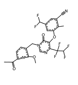 COc1nc(C(C)=O)ccc1Cn1cnc(C(F)(F)C(F)F)c(Oc2cc(C(F)F)cc(C#N)c2C)c1=O